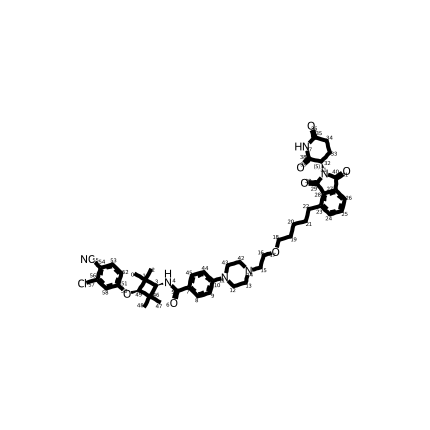 CC1(C)[C@H](NC(=O)c2ccc(N3CCN(CCOCCCCCc4cccc5c4C(=O)N([C@H]4CCC(=O)NC4=O)C5=O)CC3)cc2)C(C)(C)[C@H]1Oc1ccc(C#N)c(Cl)c1